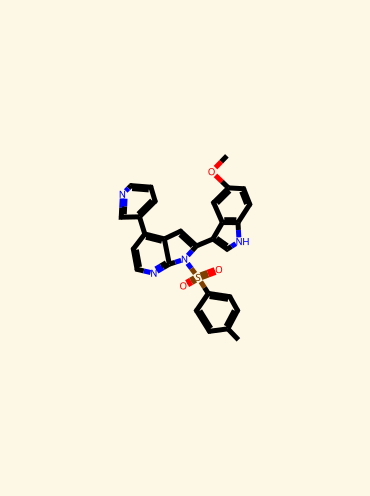 COc1ccc2[nH]cc(-c3cc4c(-c5cccnc5)ccnc4n3S(=O)(=O)c3ccc(C)cc3)c2c1